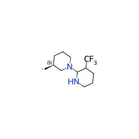 [CH2][C@H]1CCCN(C2NCCCC2C(F)(F)F)C1